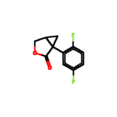 O=C1OCC2CC12c1cc(F)ccc1F